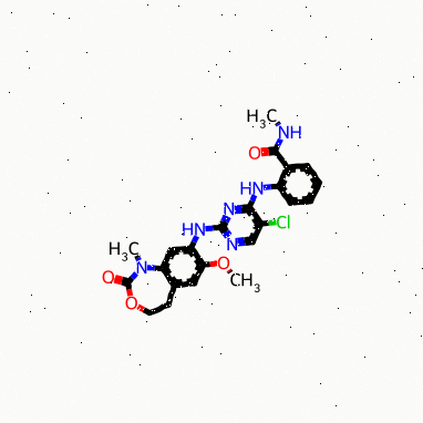 CNC(=O)c1ccccc1Nc1nc(Nc2cc3c(cc2OC)CCOC(=O)N3C)ncc1Cl